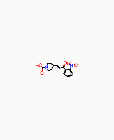 O=C(/C=C/C1CCN(C(=O)O)CC1)c1ccccc1[N+](=O)[O-]